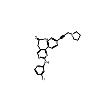 O=C1Cc2cnc(Nc3cccc(Cl)c3)nc2-c2ccc(C#CCN3CCCC3)cc2N1